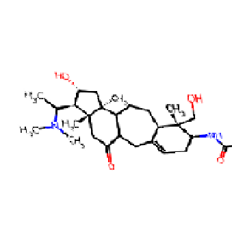 CC(C)C(=O)N[C@H]1CC=C2CC3C(=O)C[C@]4(C)[C@@H](C(C)N(C)C)[C@H](O)C[C@@]4(C)C3CCC2[C@]1(C)CO